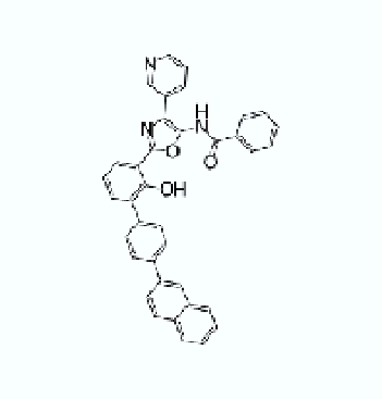 O=C(Nc1oc(-c2cccc(-c3ccc(-c4ccc5ccccc5c4)cc3)c2O)nc1-c1cccnc1)c1ccccc1